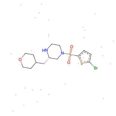 O=S(=O)(c1ccc(Br)s1)N1CCN[C@@H](CC2CCOCC2)C1